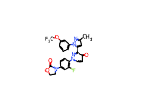 Cc1cc(-c2nn(-c3ccc(N4CCOC4=O)cc3F)ccc2=O)n(-c2cccc(OC(F)(F)F)c2)n1